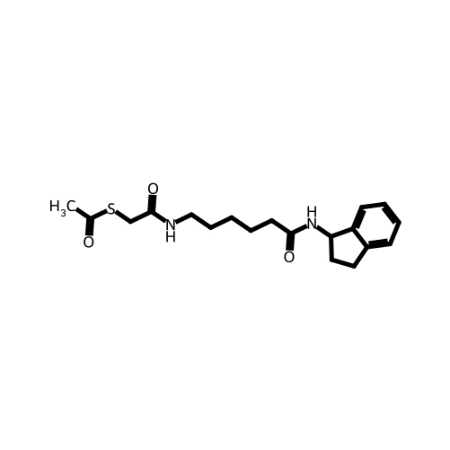 CC(=O)SCC(=O)NCCCCCC(=O)NC1CCc2ccccc21